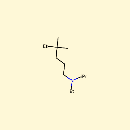 CCN(CCCC(C)(C)CC)C(C)C